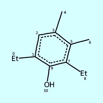 CCc1cc(C)c(C)c(CC)c1O